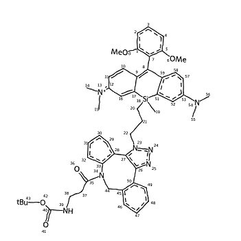 COc1cccc(OC)c1C1=C2C=CC(=[N+](C)C)C=C2[Si](C)(CCCn2nnc3c2-c2ccccc2N(C(=O)CCNC(=O)OC(C)(C)C)Cc2ccccc2-3)c2cc(N(C)C)ccc21